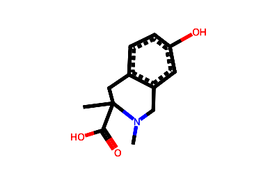 CN1Cc2cc(O)ccc2CC1(C)C(=O)O